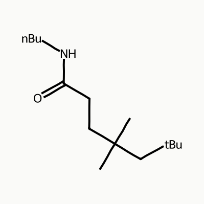 CCCCNC(=O)CCC(C)(C)CC(C)(C)C